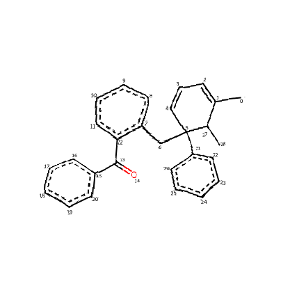 [CH2]C1=CC=CC(Cc2ccccc2C(=O)c2ccccc2)(c2ccccc2)C1C